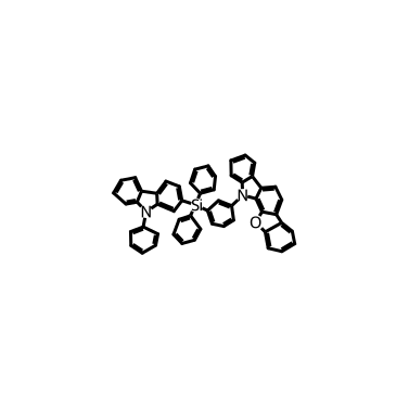 c1ccc(-n2c3ccccc3c3ccc([Si](c4ccccc4)(c4ccccc4)c4cccc(-n5c6ccccc6c6ccc7c8ccccc8oc7c65)c4)cc32)cc1